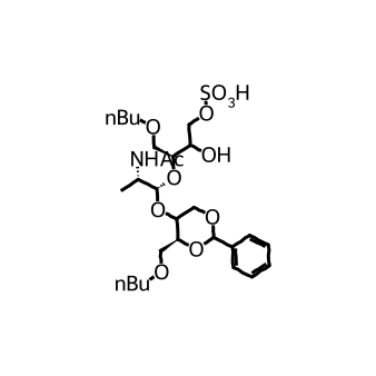 CCCCOC[C@H](O[C@H](OC1COC(c2ccccc2)O[C@H]1COCCCC)[C@H](C)NC(C)=O)C(O)COS(=O)(=O)O